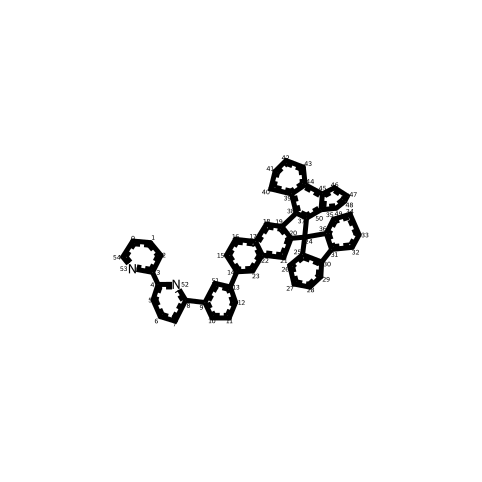 c1ccc(-c2cccc(-c3cccc(-c4ccc5cc6c(cc5c4)C4(c5ccccc5-c5ccccc54)c4c-6c5ccccc5c5ccccc45)c3)n2)nc1